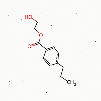 CCCc1ccc(C(=O)OCCO)cc1